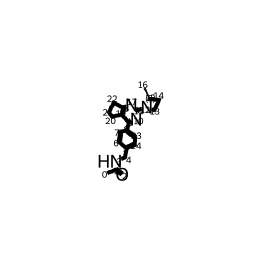 CC(=O)NCc1ccc(-c2nc(N3CC[C@@H]3C)nc3c2CCC3)cc1